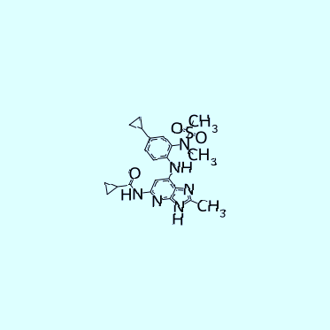 Cc1nc2c(Nc3ccc(C4CC4)cc3N(C)S(C)(=O)=O)cc(NC(=O)C3CC3)nc2[nH]1